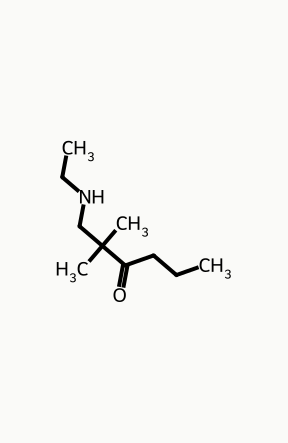 CCCC(=O)C(C)(C)CNCC